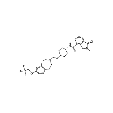 CN1Cc2c(C(=O)N[C@H]3CC[C@H](CCN4CCc5ccc(OCC(F)(F)F)nc5CC4)CC3)cccc2C1=O